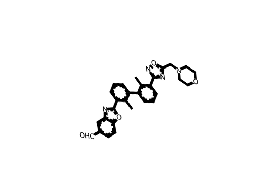 Cc1c(-c2noc(CN3CCOCC3)n2)cccc1-c1cccc(-c2nc3cc(C=O)ccc3o2)c1C